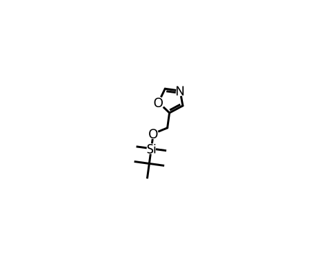 CC(C)(C)[Si](C)(C)OCc1cnco1